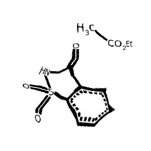 CCOC(C)=O.O=C1NS(=O)(=O)c2ccccc21